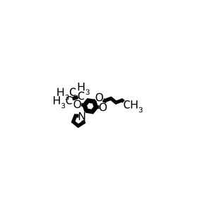 CCCCC1Oc2cc(OC(C)(C)C)c(N3CCCC3)cc2O1